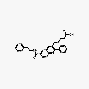 O=C(O)CCCCc1cc2cc(C(=O)NCCc3ccccc3)ccc2nc1-c1ccccc1